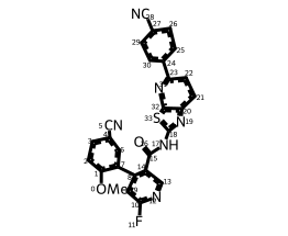 COc1ccc(C#N)cc1-c1cc(F)ncc1C(=O)Nc1nc2ccc(-c3ccc(C#N)cc3)nc2s1